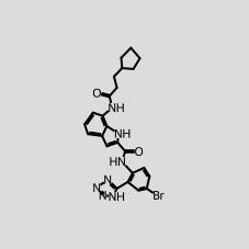 O=C(CCC1CCCC1)Nc1cccc2cc(C(=O)Nc3ccc(Br)cc3-c3nnn[nH]3)[nH]c12